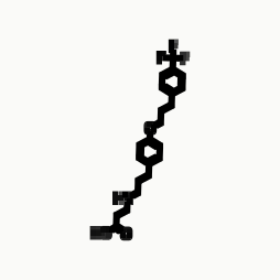 O=C(O)CCNCCCc1ccc(OCCCc2ccc(C(F)(F)F)cc2)cc1